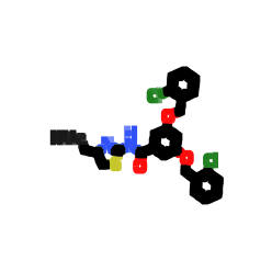 CNCC1CSC(NC(=O)c2cc(OCc3ccccc3Cl)cc(OCc3ccccc3Cl)c2)=N1